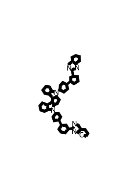 c1cc(-c2ccc(-n3c4ccccc4c4c5c6ccccc6n(-c6ccc(-c7cccc(-c8ncc9ccccc9n8)c7)cc6)c5ccc43)cc2)cc(-c2ncc3ccccc3n2)c1